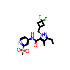 CCc1nn(CC2CC(F)(F)C2)c(C(=O)Nc2ccnc(S(C)(=O)=O)c2)c1C